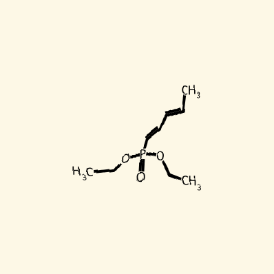 C/C=C/C=C/P(=O)(OCC)OCC